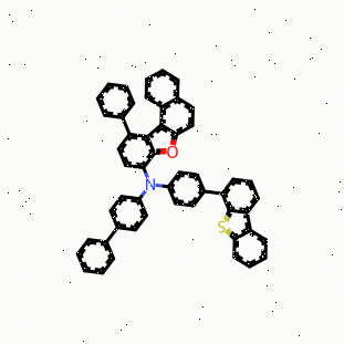 c1ccc(-c2ccc(N(c3ccc(-c4cccc5c4sc4ccccc45)cc3)c3ccc(-c4ccccc4)c4c3oc3ccc5ccccc5c34)cc2)cc1